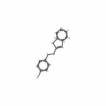 Fc1ccc(CCC2=Cc3ccccc3C2)cc1